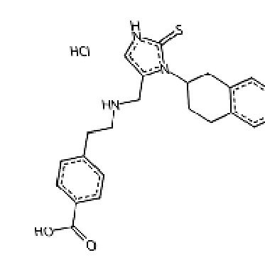 Cl.O=C(O)c1ccc(CCNCc2c[nH]c(=S)n2C2CCc3ccccc3C2)cc1